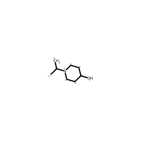 CC(I)N1CCC(O)CC1